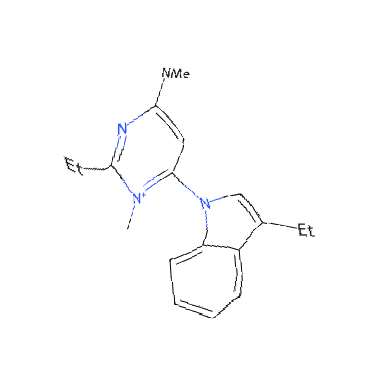 CCc1cn(-c2cc(NC)nc(CC)[n+]2C)c2ccccc12